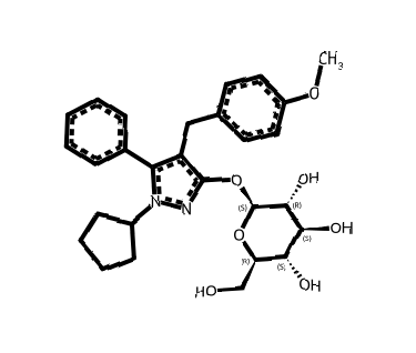 COc1ccc(Cc2c(O[C@@H]3O[C@H](CO)[C@@H](O)[C@H](O)[C@H]3O)nn(C3CCCC3)c2-c2ccccc2)cc1